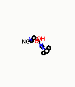 N#Cc1ccc2c(OC(O)CCN3CCN(C4c5ccccc5CCc5ccccc54)CC3)cccc2n1